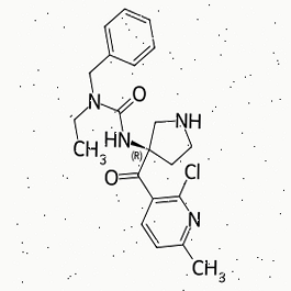 CCN(Cc1ccccc1)C(=O)N[C@]1(C(=O)c2ccc(C)nc2Cl)CCNC1